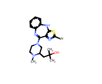 CC(C)c1nc2c(s1)Nc1ccccc1N=C2N1CCN(C)C(CC(C)(C)O)C1